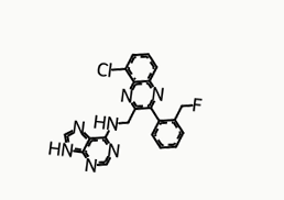 FCc1ccccc1-c1nc2cccc(Cl)c2nc1CNc1ncnc2[nH]cnc12